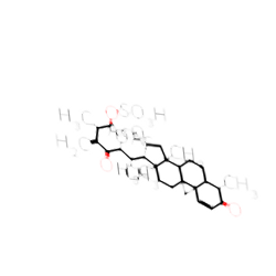 C=C(C(=O)[C@H](OC(C)=O)[C@@H](C)[C@H]1[C@@H](OC(C)=O)C[C@@]2(C)C3CCC4[C@H](C)C(=O)C=C[C@@]45C[C@@]35CC[C@]12C)[C@@H](C)COS(=O)(=O)O